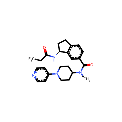 CN(C(=O)c1ccc2c(c1)[C@H](NC(=O)CC(F)(F)F)CC2)C1CCN(c2ccncc2)CC1